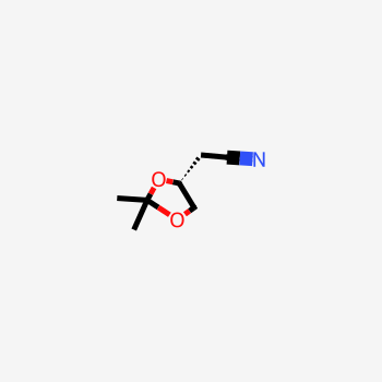 CC1(C)OC[C@@H](CC#N)O1